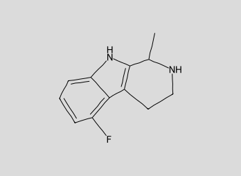 CC1NCCc2c1[nH]c1cccc(F)c21